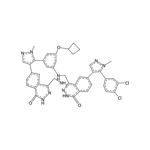 Cn1ncc(-c2ccc3c(=O)[nH]nc(CN)c3c2)c1-c1cc(NCc2n[nH]c(=O)c3ccc(-c4cnn(C)c4-c4ccc(Cl)c(Cl)c4)cc23)cc(OC2CCC2)c1